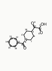 O=C(O)C(=O)C1CCN(C(=O)c2ccccc2)CC1